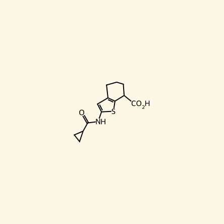 O=C(Nc1cc2c(s1)C(C(=O)O)CCC2)C1CC1